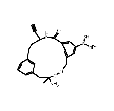 C#CC1CCc2cccc(c2)CC(C)(N)COCc2cc(cc(N(S)CCC)c2)C(=O)N1